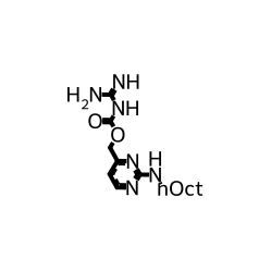 CCCCCCCCNc1nccc(COC(=O)NC(=N)N)n1